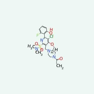 C=CC(=O)N1CCN2Cc3c(S(=O)(=O)N(C)C)nc(-c4c(O)cccc4F)c(Cl)c3OC[C@H]2C1